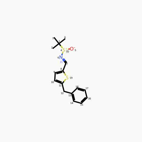 CC(C)(C)[S@@+]([O-])/N=C/c1ccc(Cc2ccccc2)s1